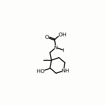 CC1(CN(I)C(=O)O)CCNCC1O